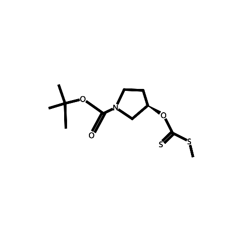 CSC(=S)O[C@@H]1CCN(C(=O)OC(C)(C)C)C1